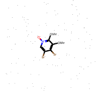 COc1c(Br)c(Br)[c][n+]([O-])c1OC